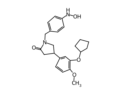 COc1ccc(C2CC(=O)N(Cc3ccc(NO)cc3)C2)cc1OC1CCCC1